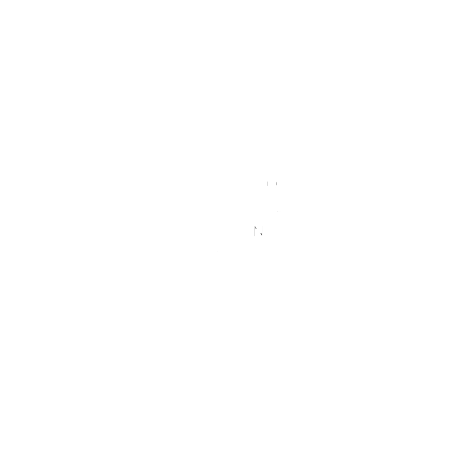 CCCC1CCN(C(C)=O)C1